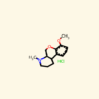 COc1cccc2c1OCC1C2CCCN1C.Cl